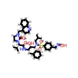 CC(C)CN(C[C@@H](O)[C@H](Cc1ccccc1)NC(=O)[C@H](C(C)C)N1CCN(Cc2ccnc3ccccc23)C1=O)S(=O)(=O)c1ccc(/C=N/O)cc1